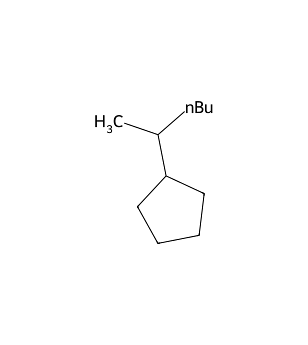 [CH2]CCCC(C)C1CCCC1